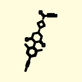 CC#Cc1cc(C)c(C2C(=O)CC([C@H]3C[C@@H](C(=O)NC)C3)CC2=O)c(C)c1